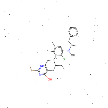 BN(B(C)Cc1ccccc1)c1cc(C)c(C)c(C2Cc3nc(SC)nc(O)c3CC2CC)c1F